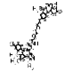 Cc1sc2c(c1C)C(c1ccc(Cl)cc1)=N[C@@H](CC(=O)NCCOCCOCCCc1ccc3c(c1)n(C)c(=O)n3C1CCC(=O)NC1=O)c1nnc(C)n1-2